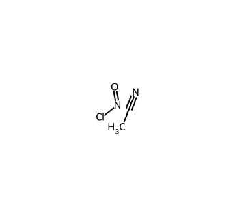 CC#N.O=NCl